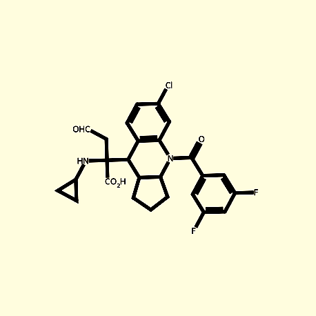 O=CCC(NC1CC1)(C(=O)O)C1c2ccc(Cl)cc2N(C(=O)c2cc(F)cc(F)c2)C2CCCC21